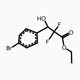 CCOC(=O)C(F)(F)C(O)c1ccc(Br)cc1